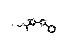 CCOC(=O)c1cc(-c2cnc(-c3ccccc3)s2)n[nH]1